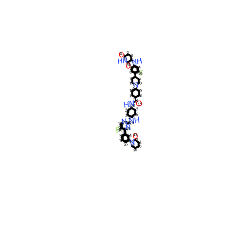 O=C1CCC(Nc2ccc(C3CCN([C@H]4CC[C@H](C(=O)NC5CCC(Nc6ncc(F)c(-c7cccc(N8CCCCC8=O)c7)n6)CC5)CC4)CC3)c(F)c2)C(=O)N1